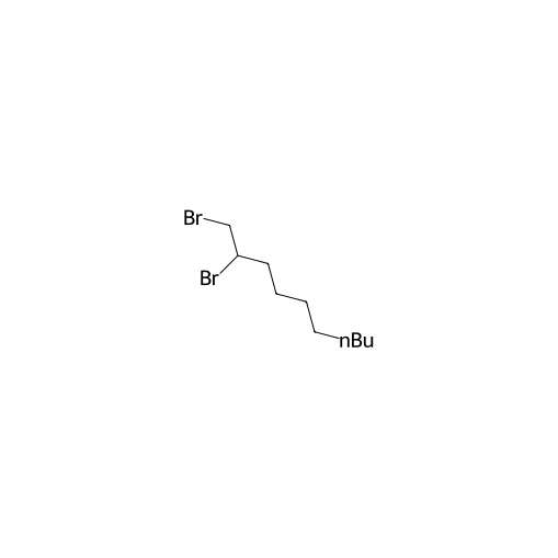 CCCCCCCCC(Br)CBr